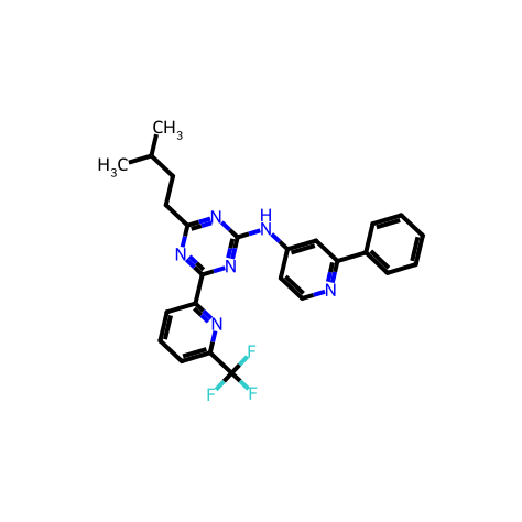 CC(C)CCc1nc(Nc2ccnc(-c3ccccc3)c2)nc(-c2cccc(C(F)(F)F)n2)n1